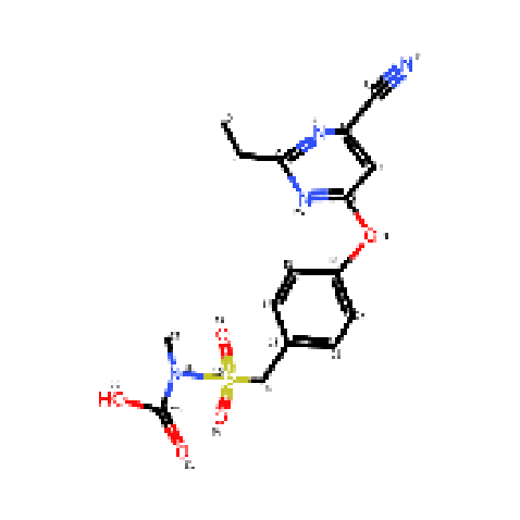 CCc1nc(C#N)cc(Oc2ccc(CS(=O)(=O)N(C)C(=O)O)cc2)n1